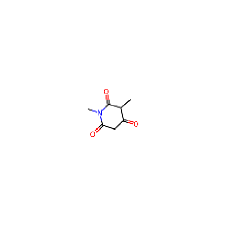 CC1C(=O)CC(=O)N(C)C1=O